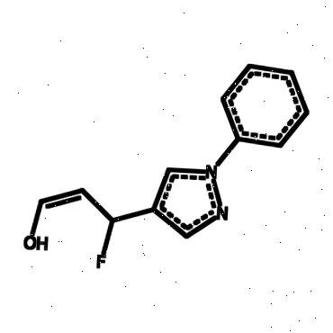 O/C=C\C(F)c1cnn(-c2ccccc2)c1